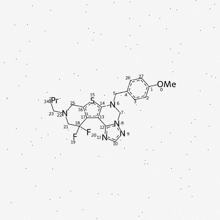 COc1ccc(CN2Cn3ncnc3-c3c2sc2c3C(F)(F)CN(CC(C)C)C2)cc1